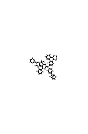 CC1(C)c2cc(-c3ccccc3)ccc2-c2c(-c3ccccc3)cc(N(c3ccc(C4CC5CCC4C5)cc3)c3cccc(-c4ccccc4C4CCCCC4)c3)cc21